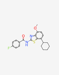 COc1ccc(C2CCCCC2)c2sc(NC(=O)c3ccc(F)cc3)nc12